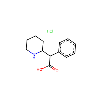 Cl.O=C(O)C(c1ccccc1)C1CCCCN1